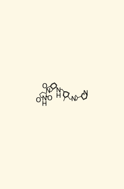 Cc1cc(CNc2cccc3c2CN(C2CCC(=O)NC2=O)C3=O)ccc1CN1CC(c2cccnc2)C1